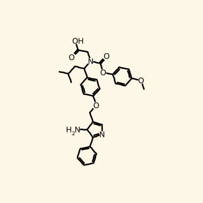 COc1ccc(OC(=O)N(CC(=O)O)C(CC(C)C)c2ccc(OCC3=CN=C(c4ccccc4)C3N)cc2)cc1